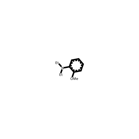 CCN(CC)c1ccc[c]c1OC